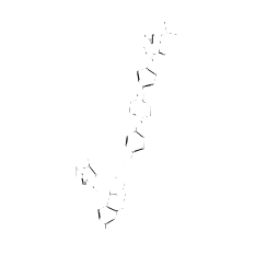 CCC(C)n1ncn(-c2ccc(N3CCN(c4ccc(OC[C@@H]5CO[C@@](Cn6cnc(C)c6)(c6ccc(Cl)cc6Cl)O5)cc4)CC3)cc2)c1=O